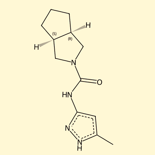 Cc1cc(NC(=O)N2C[C@H]3CCC[C@H]3C2)n[nH]1